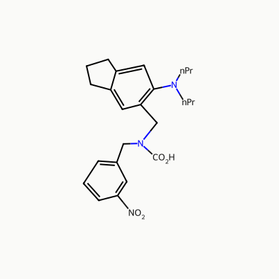 CCCN(CCC)c1cc2c(cc1CN(Cc1cccc([N+](=O)[O-])c1)C(=O)O)CCC2